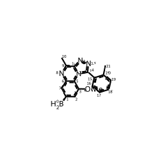 Bc1cc(OC)c2c(c1)nc(C)c1nnc(-c3ccccc3C)n12